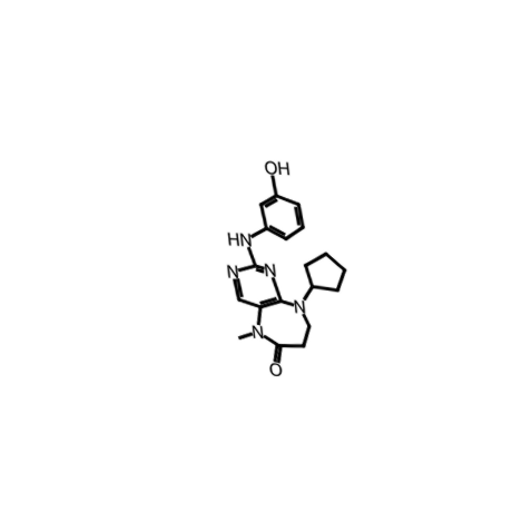 CN1C(=O)CCN(C2CCCC2)c2nc(Nc3cccc(O)c3)ncc21